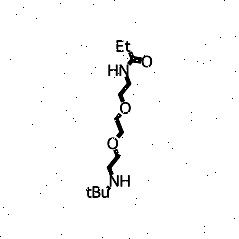 CCC(=O)NCCOCCOCCNC(C)(C)C